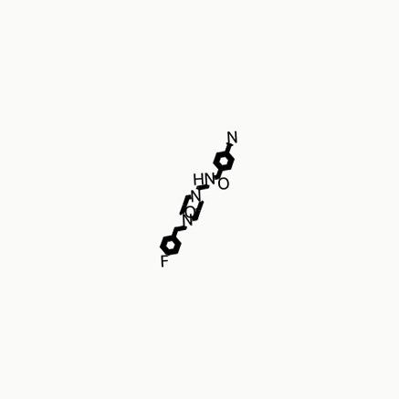 N#Cc1ccc(C(=O)NCCN2CC3CN(CCc4ccc(F)cc4)CC(C2)O3)cc1